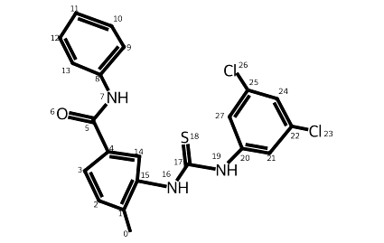 Cc1ccc(C(=O)Nc2ccccc2)cc1NC(=S)Nc1cc(Cl)cc(Cl)c1